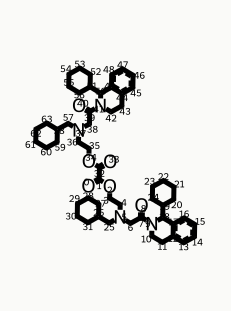 O=C(OCCN(CC(=O)N1CCc2ccccc2C1C1CCCCC1)CC1CCCCC1)C(=O)OCCN(CC(=O)N1CCc2ccccc2C1C1CCCCC1)CC1CCCCC1